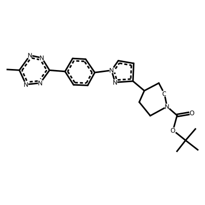 Cc1nnc(-c2ccc(-n3ccc(C4CCN(C(=O)OC(C)(C)C)CC4)n3)cc2)nn1